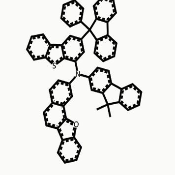 CC1(C)c2ccccc2-c2ccc(N(c3ccc4ccc5c6ccccc6oc5c4c3)c3cc(C4(c5ccccc5)c5ccccc5-c5ccccc54)cc4c3sc3ccccc34)cc21